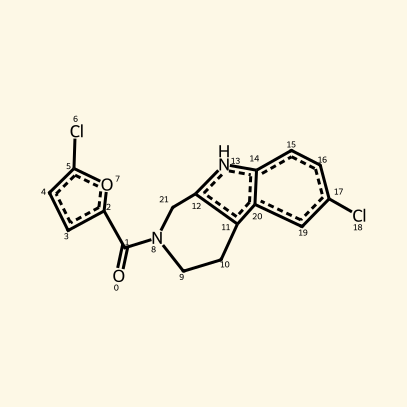 O=C(c1ccc(Cl)o1)N1CCc2c([nH]c3ccc(Cl)cc23)C1